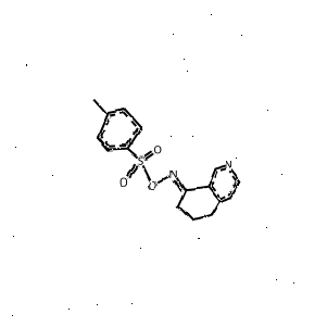 Cc1ccc(S(=O)(=O)ON=C2CCCc3ccncc32)cc1